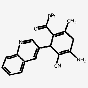 CCCC(=O)C1=C(C)CC(N)=C(C#N)C1c1cnc2ccccc2c1